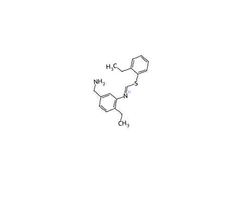 CCc1ccc(CN)cc1/N=C/Sc1ccccc1CC